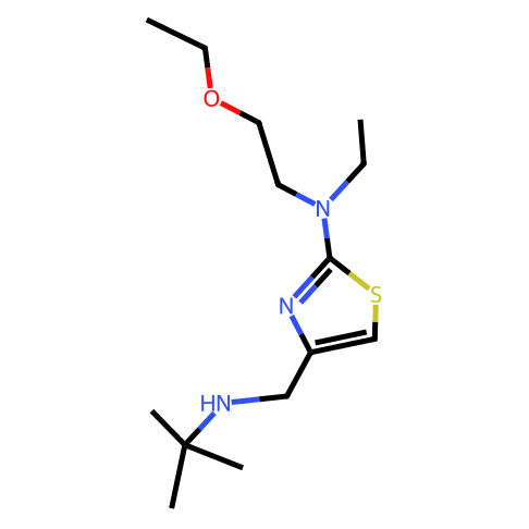 CCOCCN(CC)c1nc(CNC(C)(C)C)cs1